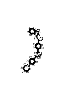 O=C(On1nnc2ccccc21)c1ccc(-c2nnc(-c3ccc(N4CCCCC4)cc3)s2)cc1